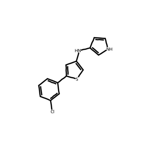 Clc1cccc(-c2cc(Nc3cc[nH]c3)cs2)c1